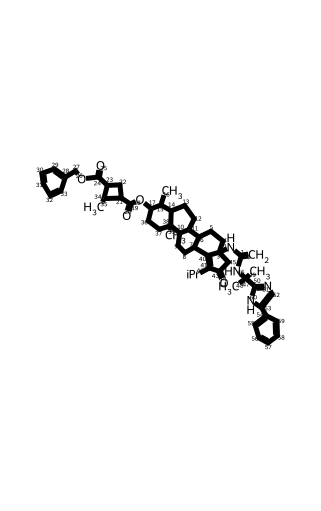 C=C(NC12CCC3C(CCC4C3CCC3C(C)C(OC(=O)C5CC(C(=O)OCc6ccccc6)C5C)CCC34C)C1=C(C(C)C)C(=O)C2)NC(C)(C)c1ncc(-c2ccccc2)[nH]1